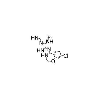 CC(C)N/C(=N\C=N)C(=N)/N=C1\NCCOc2cc(Cl)ccc21